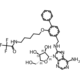 Nc1ncnc2c1nc(NCc1ccc(-c3ccccc3)c(OCCCCCNC(=O)C(F)(F)F)c1)n2[C@@H]1O[C@H](CO)[C@@H](O)[C@H]1O